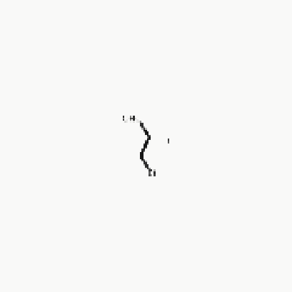 CCCCC=O.[U]